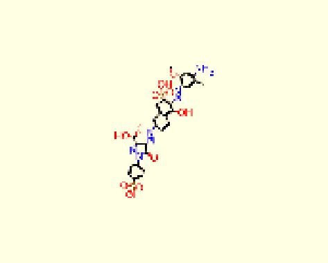 COc1cc(N)c(C)cc1/N=N/c1c(S(=O)(=O)O)cc2cc(/N=N/C3C(=O)N(c4ccc(S(=O)(=O)O)cc4)N=C3C(=O)O)ccc2c1O